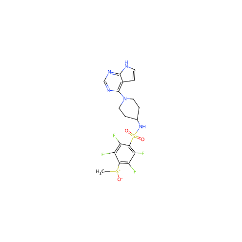 C[S+]([O-])c1c(F)c(F)c(S(=O)(=O)NC2CCN(c3ncnc4[nH]ccc34)CC2)c(F)c1F